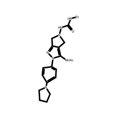 CCNC(=O)NN1Cc2nn(-c3ccc(N4CCCC4)cc3)c(NC(C)=O)c2C1